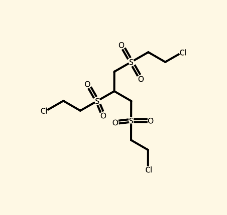 O=S(=O)(CCCl)CC(CS(=O)(=O)CCCl)S(=O)(=O)CCCl